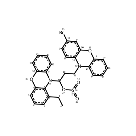 CCc1cccc2c1N(C(CCN1c3ccccc3Oc3cc(Br)ccc31)O[SH](=O)=O)c1ccccc1O2